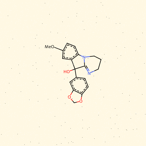 COc1ccc2c(c1)C(O)(c1ccc3c(c1)OCO3)C1=NCCCN12